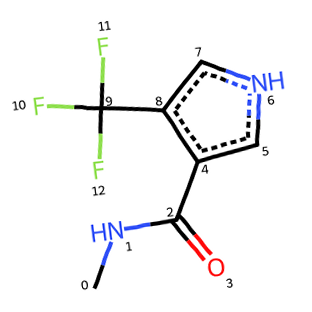 CNC(=O)c1c[nH]cc1C(F)(F)F